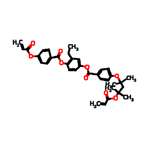 C=CC(=O)Oc1ccc(C(=O)Oc2ccc(OC(=O)c3ccc(OC(C)(C)CC(C)(C)OC(=O)C=C)cc3)cc2CC)cc1